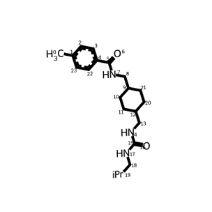 Cc1ccc(C(=O)NCC2CCC(CNC(=O)NCC(C)C)CC2)cc1